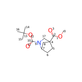 COC(=O)C12CCC(C1)N(C(=O)OC(C)(C)C)C2